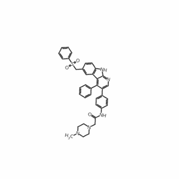 CN1CCN(CC(=O)Nc2ccc(-c3cnc4[nH]c5ccc(CS(=O)(=O)c6ccccc6)cc5c4c3-c3ccccc3)cc2)CC1